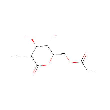 CCCCCCCC(=O)OC[C@H]1OC(=O)[C@H](NC(C)=O)[C@@H](O)[C@@H]1O